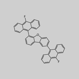 Fc1c2ccccc2c(-c2ccc3oc4c(-c5c6ccccc6c(F)c6ccccc56)cccc4c3c2)c2ccccc12